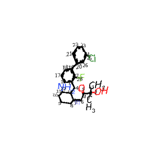 CC(C)(O)C(=O)/C=C1/CCCC(N)C1Cc1cccc(-c2cccc(Cl)c2)c1F